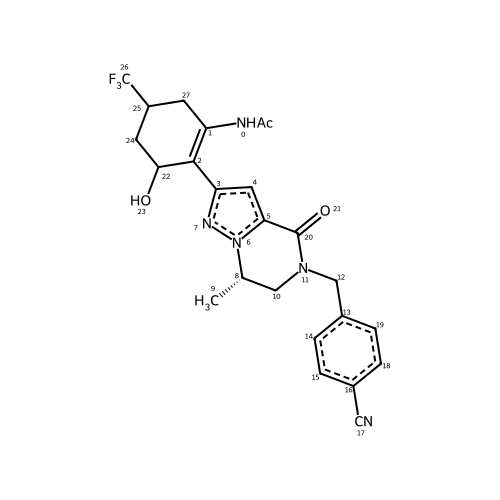 CC(=O)NC1=C(c2cc3n(n2)[C@@H](C)CN(Cc2ccc(C#N)cc2)C3=O)C(O)CC(C(F)(F)F)C1